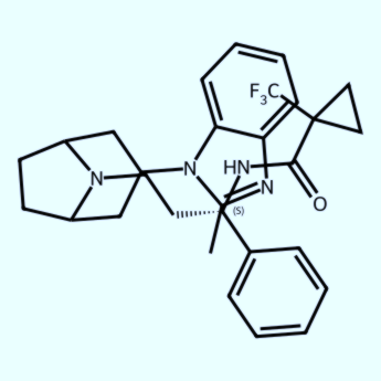 Cc1nc2ccccc2n1C1CC2CCC(C1)N2CC[C@H](NC(=O)C1(C(F)(F)F)CC1)c1ccccc1